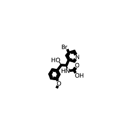 COc1cccc([C@H](O)[C@H](NC(=O)O)c2cncc(Br)c2)c1